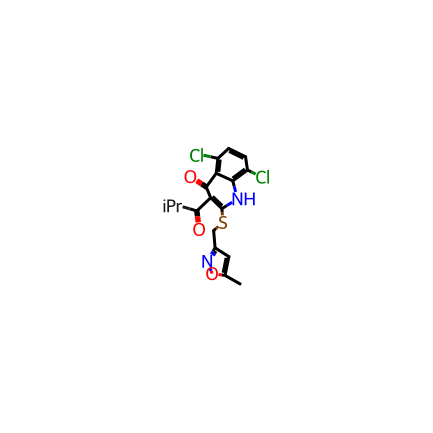 Cc1cc(CSc2[nH]c3c(Cl)ccc(Cl)c3c(=O)c2C(=O)C(C)C)no1